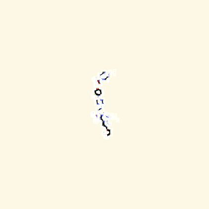 Cn1c(=O)n(CCN2CCN(c3ccc(OCC(=O)N4CCNCC4)cc3F)CC2)c2nc(N)n3nc(-c4ccco4)cc3c21